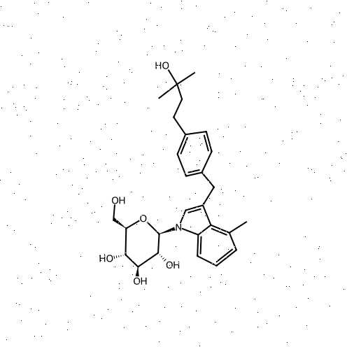 Cc1cccc2c1c(Cc1ccc(CCC(C)(C)O)cc1)cn2[C@@H]1O[C@H](CO)[C@@H](O)[C@H](O)[C@H]1O